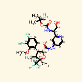 COc1c([C@H]2[C@H](C(=O)Nc3ccnc(C(CO)NC(=O)OC(C)(C)C)c3)O[C@@](C)(C(F)(F)F)[C@H]2C)ccc(F)c1F